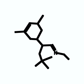 CCN=CC(CC(C)(C)C)C1CC(C)=CC(C)C1